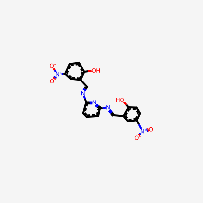 O=[N+]([O-])c1ccc(O)c(C=Nc2cccc(N=Cc3cc([N+](=O)[O-])ccc3O)n2)c1